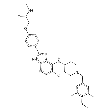 CNC(=O)COc1ccc(-c2nc3c(NC4CCN(Cc5cc(C)c(OC)c(C)c5)CC4)c(Cl)cnc3[nH]2)cc1